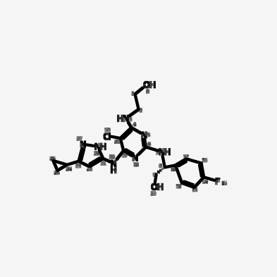 OCCNc1nc(N[C@@H](CO)c2ccc(F)cc2)nc(Nc2cc(C3CC3)n[nH]2)c1Cl